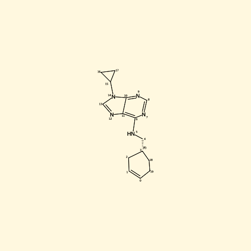 C1=CC[C@H](CNc2ncnc3c2ncn3C2CC2)CC1